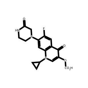 O=C1CN(c2cc3c(cc2F)c(=O)c(OC(=O)O)cn3C2CC2)CCN1